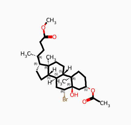 COC(=O)CC[C@@H](C)[C@H]1CC[C@H]2[C@@H]3C[C@@H](Br)[C@@]4(O)C[C@@H](OC(C)=O)CC[C@]4(C)[C@H]3CC[C@]12C